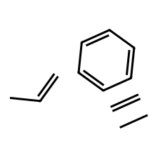 C=C.C=CC.CC.c1ccccc1